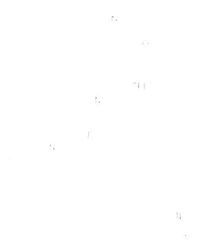 CC(=O)N1CCC(c2ccc(Nc3nc(-c4ccc(F)nc4F)cc4c3C(=O)[N]C=C4)cc2)CC1